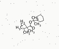 CCC(C)(C(=O)OC(C)(C)C1CCCCC1)C(C)C